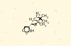 CC(C)(C)[Si](C)(C)OC[C@H]1COSN1